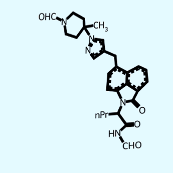 CCCC(C(=O)NC=O)N1C(=O)c2cccc3c(Cc4cnn(C5(C)CCN(C=O)CC5)c4)ccc1c23